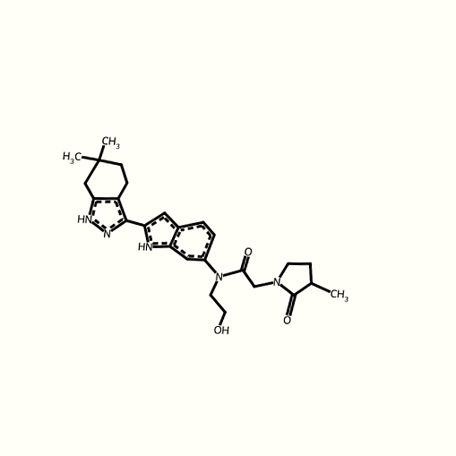 CC1CCN(CC(=O)N(CCO)c2ccc3cc(-c4n[nH]c5c4CCC(C)(C)C5)[nH]c3c2)C1=O